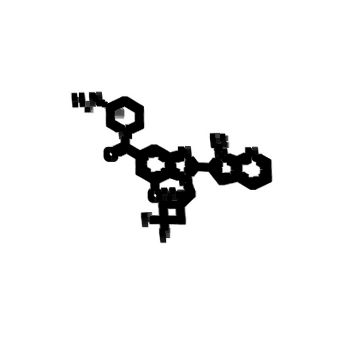 CCn1c(-c2nc3cc(C(=O)N4CCC[C@@H](N)C4)cc(OC)c3n2CC2CC(F)(F)C2)cc2cccnc21